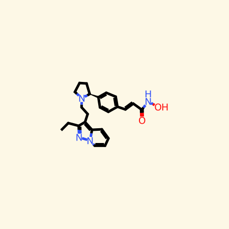 CCc1nn2ccccc2c1CCN1CCC[C@H]1c1ccc(/C=C/C(=O)NO)cc1